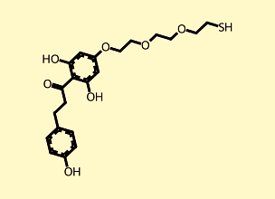 O=C(CCc1ccc(O)cc1)c1c(O)cc(OCCOCCOCCS)cc1O